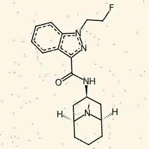 CN1[C@@H]2CCC[C@H]1C[C@@H](NC(=O)c1nn(CCF)c3ccccc13)C2